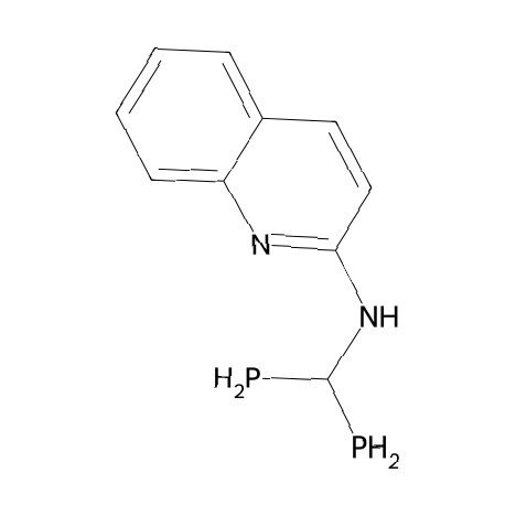 PC(P)Nc1ccc2ccccc2n1